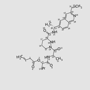 C=CCC(=O)OC(C(=O)NC(C)C(=O)N1CCCC(C(=O)N[C@H](C)c2ccc3cnc(C=C)cc3c2)N1)C(C)C